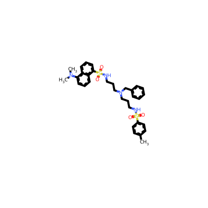 Cc1ccc(S(=O)(=O)NCCCN(CCCNS(=O)(=O)c2cccc3c(N(C)C)cccc23)Cc2ccccc2)cc1